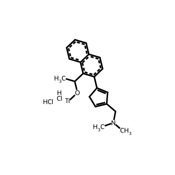 CC([O][Ti])c1c(C2=CC(CN(C)C)=CC2)ccc2ccccc12.Cl.Cl